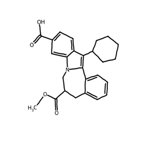 COC(=O)C1Cc2ccccc2-c2c(C3CCCCC3)c3ccc(C(=O)O)cc3n2C1